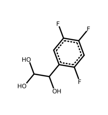 OC(O)C(O)c1cc(F)c(F)cc1F